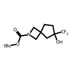 CC(C)(C)OC(=O)N1CC2(CCC(O)(C(F)(F)F)C2)C1